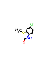 CSc1cc(Cl)ccc1NC=O